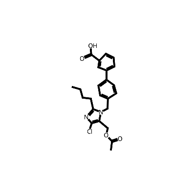 CCCCc1nc(Cl)c(COC(C)=O)n1Cc1ccc(-c2cccc(C(=O)O)c2)cc1